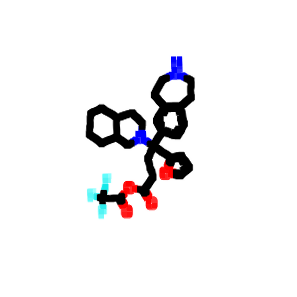 O=C(CCC(c1ccc2c(c1)CCNCC2)(c1ccco1)N1CCC2CCCCC2C1)OC(=O)C(F)(F)F